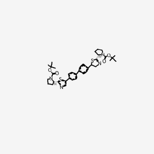 CC(C)(C)OC(=O)N1CCC[C@H]1C1=NCC(c2ccc(-c3ccc(-c4cnc([C@@H]5CCCN5C(=O)OC(C)(C)C)s4)cc3)cc2)S1